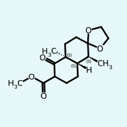 COC(=O)C1CC[C@H]2[C@H](C)C3(CC[C@]2(C)C1=O)OCCO3